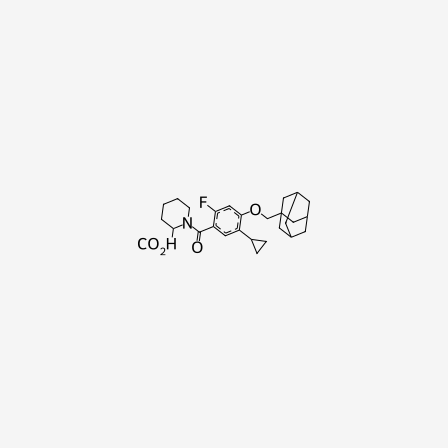 O=C(O)C1CCCCN1C(=O)c1cc(C2CC2)c(OCC23CC4CC(CC(C4)C2)C3)cc1F